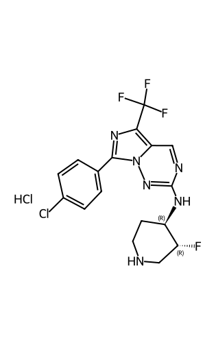 Cl.F[C@@H]1CNCC[C@H]1Nc1ncc2c(C(F)(F)F)nc(-c3ccc(Cl)cc3)n2n1